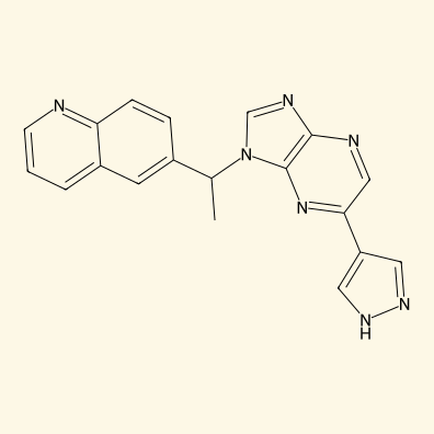 CC(c1ccc2ncccc2c1)n1cnc2ncc(-c3cn[nH]c3)nc21